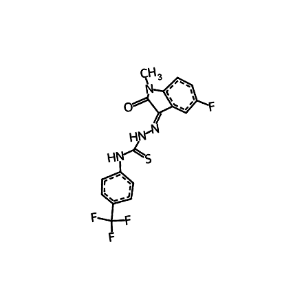 CN1C(=O)C(=NNC(=S)Nc2ccc(C(F)(F)F)cc2)c2cc(F)ccc21